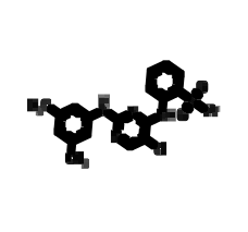 Cc1cc(C)cc(Nc2ncc(Cl)c(Nc3ccccc3S(=O)(=O)C(C)C)n2)c1